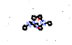 c1ccc(-c2nc(-c3ccccc3)nc(-c3cccc4c3oc3c(-n5c6ccncc6c6nc(-c7ccccc7)ncc65)cccc34)n2)cc1